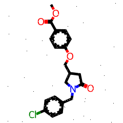 COC(=O)c1ccc(OCC2CC(=O)N(Cc3ccc(Cl)cc3)C2)cc1